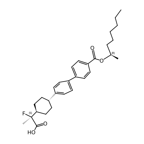 CCCCCC[C@@H](C)OC(=O)c1ccc(-c2ccc([C@H]3CC[C@H]([C@](C)(F)C(=O)O)CC3)cc2)cc1